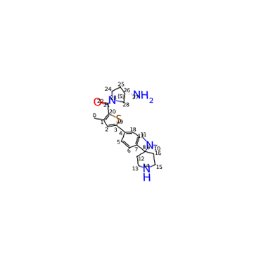 Cc1cc(-c2ccc(C3(N(C)C)CCNCC3)cc2)sc1C(=O)N1CC[C@H](N)C1